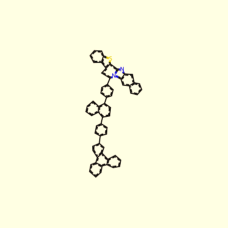 c1ccc2cc3c(cc2c1)nc1c2sc4ccccc4c2cc(-c2ccc(-c4ccc(-c5ccc(-c6ccc7c8ccccc8c8ccccc8c7c6)cc5)c5ccccc45)cc2)n31